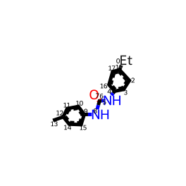 CCc1ccc(NC(=O)Nc2ccc(C)cc2)cc1